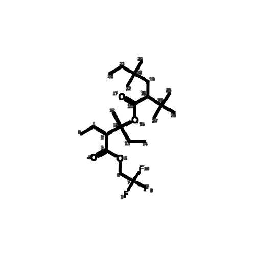 CCC(C(=O)OCC(F)(F)F)C(C)(CC)OC(=O)C(CC(C)(C)CC)C(C)(C)C